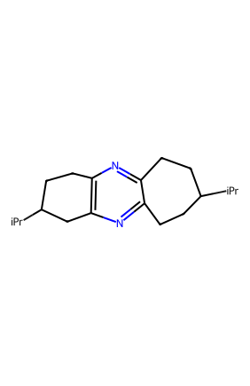 CC(C)C1CCc2nc3c(nc2CC1)CC(C(C)C)CC3